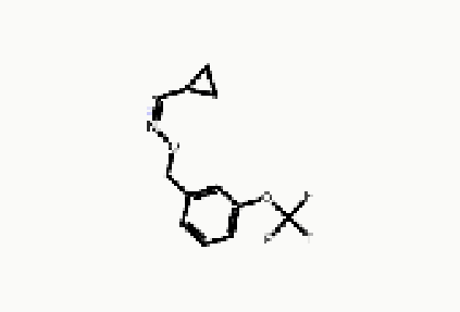 FC(F)(F)Oc1cccc(CO/N=[C]\C2CC2)c1